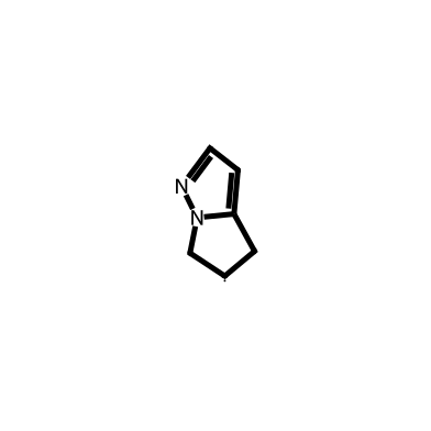 [CH]1Cc2ccnn2C1